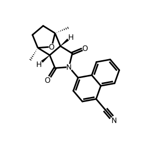 C[C@]12CC[C@](C)(O1)[C@@H]1C(=O)N(c3ccc(C#N)c4ccccc34)C(=O)[C@@H]12